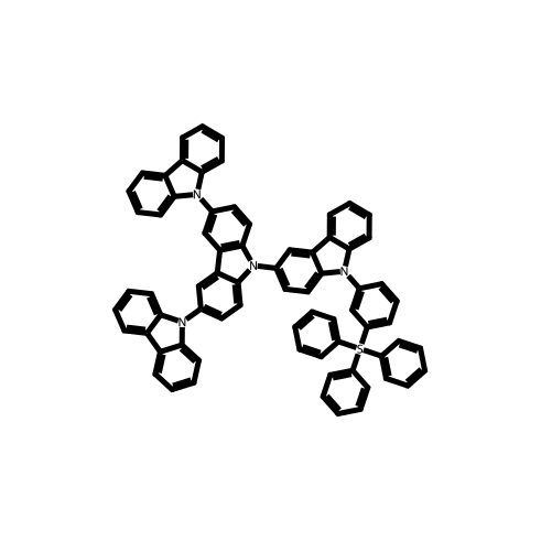 c1ccc(S(c2ccccc2)(c2ccccc2)c2cccc(-n3c4ccccc4c4cc(-n5c6ccc(-n7c8ccccc8c8ccccc87)cc6c6cc(-n7c8ccccc8c8ccccc87)ccc65)ccc43)c2)cc1